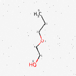 C[CH]COCCO